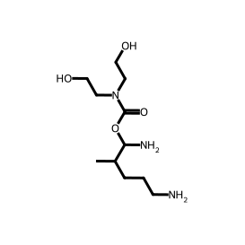 CC(CCCN)C(N)OC(=O)N(CCO)CCO